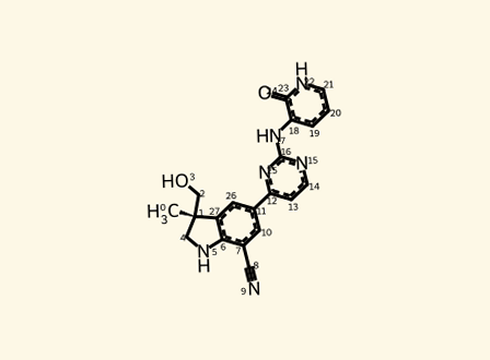 C[C@]1(CO)CNc2c(C#N)cc(-c3ccnc(Nc4ccc[nH]c4=O)n3)cc21